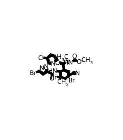 COC(=O)NN(C)C(=O)C1=CC(Br)(C#N)CC(C)(Br)C1NC(=O)c1cc(Br)nn1-c1ncccc1Cl